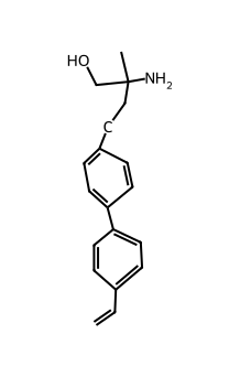 C=Cc1ccc(-c2ccc(CCC(C)(N)CO)cc2)cc1